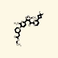 CCOC(=O)CC1CCCN(c2ccc(-c3nnn(C)c3C(=O)c3nccc(C4CC(F)(F)C4)n3)nc2C)C1